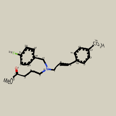 COC(=O)CCCN(CC=Cc1ccc(C(=O)O)cc1)Cc1ccc(F)cc1